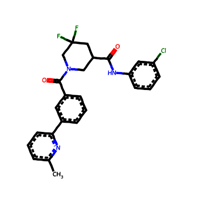 Cc1cccc(-c2cccc(C(=O)N3CC(C(=O)Nc4cccc(Cl)c4)CC(F)(F)C3)c2)n1